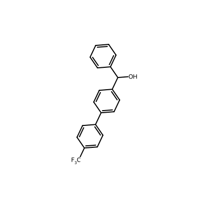 OC(c1ccccc1)c1ccc(-c2ccc(C(F)(F)F)cc2)cc1